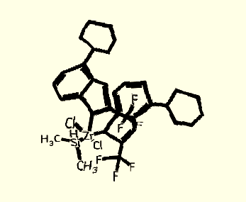 C[SiH](C)[Zr]([Cl])([Cl])([CH]1C(C(F)(F)F)=Cc2c(C3CCCCC3)cccc21)[CH]1C(C(F)(F)F)=Cc2c(C3CCCCC3)cccc21